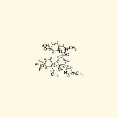 COc1ccc(CN(C)S(=O)(=O)c2ccc(N[C@@H](C)c3cccc(C(F)(F)F)c3)c(-c3cn(C)cn3)c2)cc1